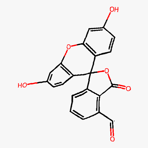 O=[C]c1cccc2c1C(=O)OC21c2ccc(O)cc2Oc2cc(O)ccc21